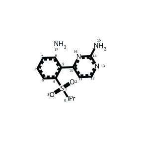 CC(C)S(=O)(=O)c1ccccc1-c1ccnc(N)n1.N